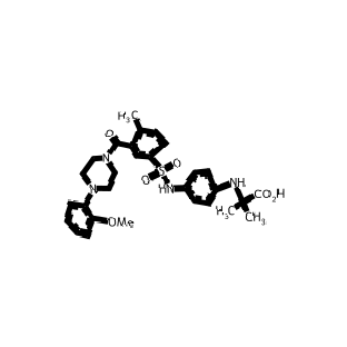 COc1ccccc1N1CCN(C(=O)c2cc(S(=O)(=O)Nc3ccc(NC(C)(C)C(=O)O)cc3)ccc2C)CC1